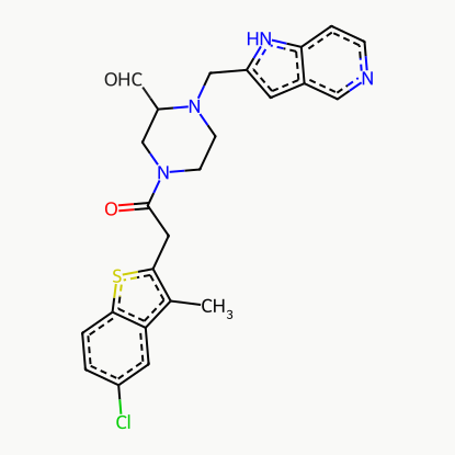 Cc1c(CC(=O)N2CCN(Cc3cc4cnccc4[nH]3)C(C=O)C2)sc2ccc(Cl)cc12